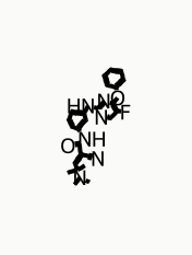 CN(C)C(C)(C)C=C(C#N)C(=O)Nc1cccc(Nc2ncc(F)c(Oc3ccccc3)n2)c1